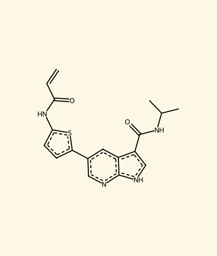 C=CC(=O)Nc1ccc(-c2cnc3[nH]cc(C(=O)NC(C)C)c3c2)s1